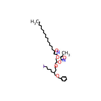 CCCCCCCCCCCCCCCc1cc(OCC(COCCC(CCCCI)COCc2ccccc2)Oc2cc(C)on2)no1